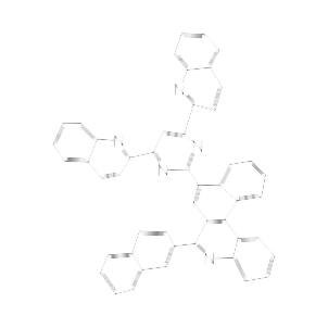 c1ccc2cc(-c3nc4ccccc4c4c3cc(-c3nc(-c5ccc6ccccc6n5)cc(-c5ccc6ccccc6n5)n3)c3ccccc34)ccc2c1